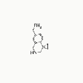 PCc1ccc2c(c1)CNCC21CC1